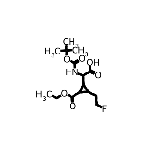 CCOC(=O)C1C(CCF)C1C(NC(=O)OC(C)(C)C)C(=O)O